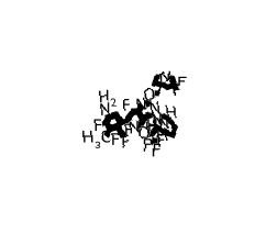 Cc1c(F)c(N)cc(-c2nc3c4c(nc(OC[C@@]56CCN5CC(F)(F)C6)nc4c2F)N2C[C@H]4CC[C@H](N4)[C@H]2[C@H](C(F)(F)F)O3)c1C(F)(F)F